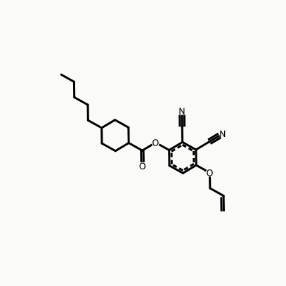 C=CCOc1ccc(OC(=O)C2CCC(CCCCC)CC2)c(C#N)c1C#N